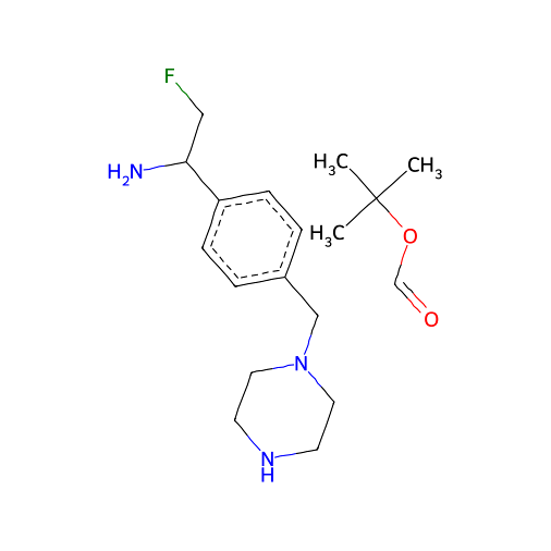 CC(C)(C)OC=O.NC(CF)c1ccc(CN2CCNCC2)cc1